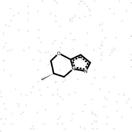 C[C@@H]1COc2ccnn2C1